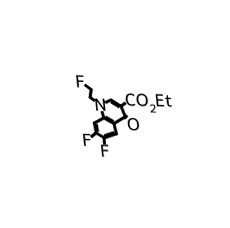 CCOC(=O)c1cn(CCF)c2cc(F)c(F)cc2c1=O